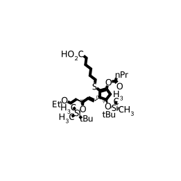 CCCC(=O)OC1=C(SCCCCCC(=O)O)[C@@H](C=C[C@H](CCOCC)O[Si](C)(C)C(C)(C)C)[C@H](O[Si](C)(C)C(C)(C)C)C1